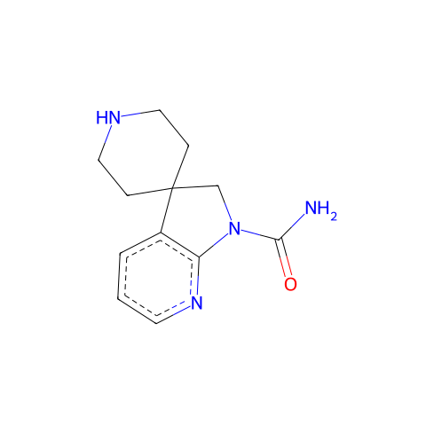 NC(=O)N1CC2(CCNCC2)c2cccnc21